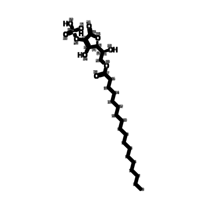 CCCCCCCCCCCCCCCCCC(=O)OC[C@H](O)[C@H]1OC(=O)C(OP(=O)(O)O)=C1O